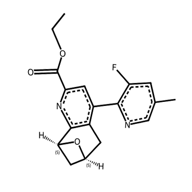 CCOC(=O)c1cc(-c2ncc(C)cc2F)c2c(n1)[C@@H]1C[C@H](C2)O1